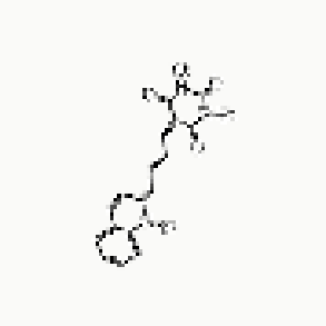 CCN1C(=O)C(=CC=C/C=C2\C=Cc3ccccc3N2CC)C(=O)N(CC)C1=O